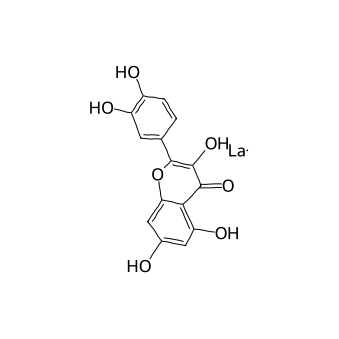 O=c1c(O)c(-c2ccc(O)c(O)c2)oc2cc(O)cc(O)c12.[La]